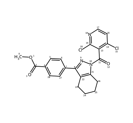 COC(=O)c1ccc(-c2nn(C(=O)c3c(Cl)ccnc3Cl)c3c2CCCC3)cc1